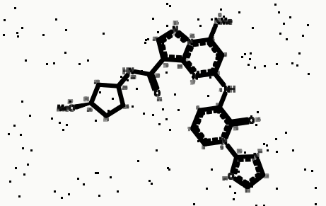 CNc1cc(Nc2cccn(-c3ncco3)c2=O)nc2c(C(=O)NC3CC[C@@H](OC)C3)cnn12